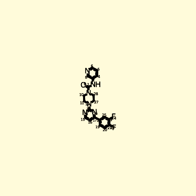 O=C(Nc1cccnc1)N1CCN(c2nccc(-c3ccc(F)c(F)c3)n2)CC1